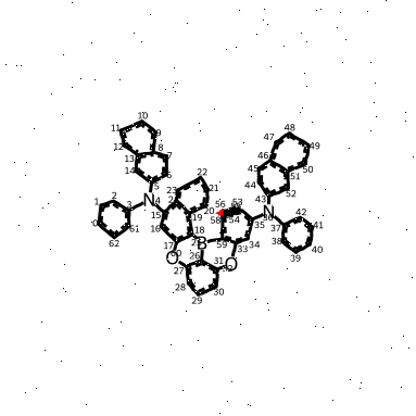 c1ccc(N(c2ccc3ccccc3c2)c2cc3c(c4ccccc24)B2c4c(cccc4Oc4cc(N(c5ccccc5)c5ccc6ccccc6c5)c5ccccc5c42)O3)cc1